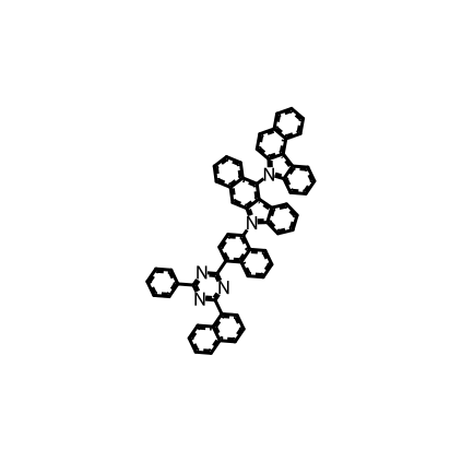 c1ccc(-c2nc(-c3cccc4ccccc34)nc(-c3ccc(-n4c5ccccc5c5c(-n6c7ccccc7c7c8ccccc8ccc76)c6ccccc6cc54)c4ccccc34)n2)cc1